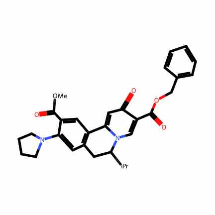 COC(=O)c1cc2c(cc1N1CCCC1)CC(C(C)C)n1cc(C(=O)OCc3ccccc3)c(=O)cc1-2